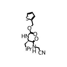 CC(C)C[C@@H](NC(=O)OCc1cccs1)C(=O)NCC#N